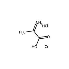 C=C(C)C(=O)O.Cl.[Cr]